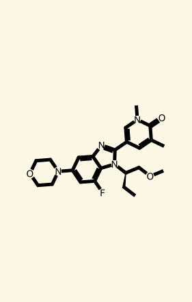 CC[C@H](COC)n1c(-c2cc(C)c(=O)n(C)c2)nc2cc(N3CCOCC3)cc(F)c21